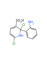 Nc1ccccc1C1(Cl)NC(Cl)=CC=C1S(=O)(=O)O